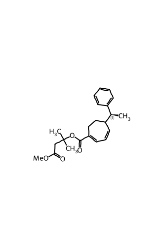 COC(=O)CC(C)(C)OC(=O)C1=CC=CC([C@H](C)c2ccccc2)CC1